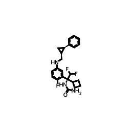 NC(=O)N[C@@](c1cc(NC[C@H]2C[C@H]2c2ccccc2)ccc1F)(C(F)F)C1CCC1